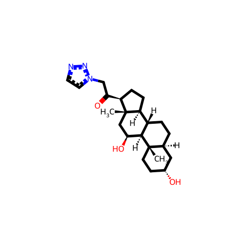 C[C@]12CC[C@@H](O)C[C@@H]1CC[C@@H]1[C@@H]2[C@@H](O)C[C@]2(C)[C@@H](C(=O)Cn3ccnn3)CC[C@@H]12